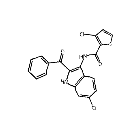 O=C(c1ccccc1)c1[nH]c2cc(Cl)ccc2c1NC(=O)c1sccc1Cl